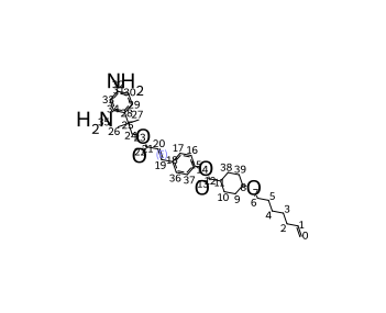 C=CCCCCCOC1CCC(C(=O)Oc2ccc(/C=C/C(=O)OCC(C)(C)c3ccc(N)cc3N)cc2)CC1